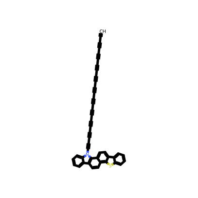 C#CC#CC#CC#CC#CC#CC#CC#CC#CC#CC#Cn1c2ccccc2c2ccc3c(ccc4c5ccccc5sc43)c21